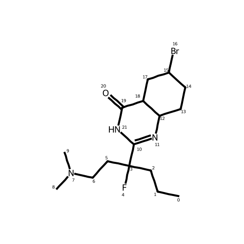 CCCC(F)(CCN(C)C)C1=NC2CCC(Br)CC2C(=O)N1